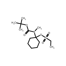 CCS(=O)(=O)OC1(N(C)C(=O)OC(C)(C)C)CCCCC1